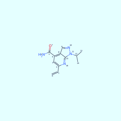 C=Cc1cc(C(N)=O)c2cnn(C(C)C)c2n1